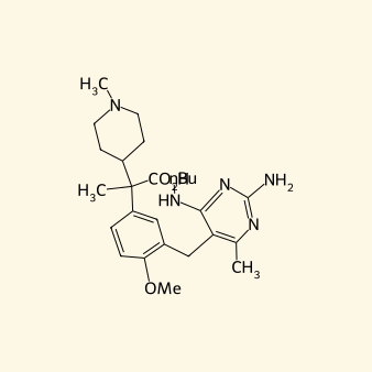 CCCCNc1nc(N)nc(C)c1Cc1cc(C(C)(C(=O)O)C2CCN(C)CC2)ccc1OC